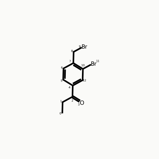 CCC(=O)c1ccc(CBr)c(Br)c1